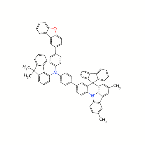 Cc1ccc2c(c1)c1cc(C)cc3c1n2-c1ccc(-c2ccc(N(c4ccc(-c5ccc6oc7ccccc7c6c5)cc4)c4cccc5c4-c4ccccc4C5(C)C)cc2)cc1C31c2ccccc2-c2ccccc21